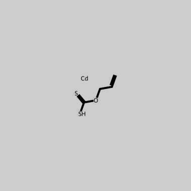 C=CCOC(=S)S.[Cd]